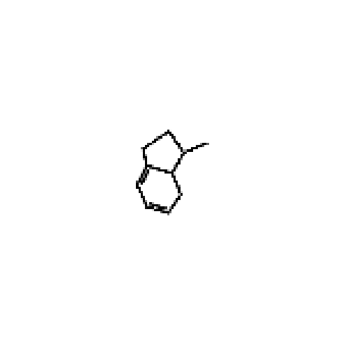 CC1CCC2=CC=CCC21